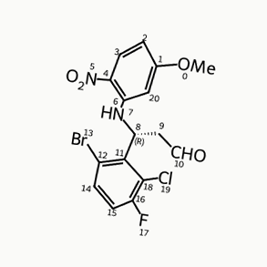 COc1ccc([N+](=O)[O-])c(N[C@H](CC=O)c2c(Br)ccc(F)c2Cl)c1